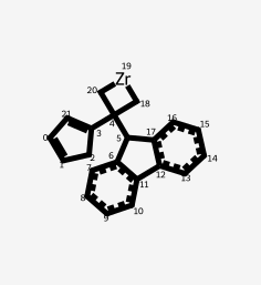 C1=CCC(C2(C3c4ccccc4-c4ccccc43)[CH2][Zr][CH2]2)=C1